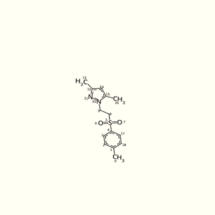 Cc1ccc(S(=O)(=O)CCn2nc(C)cc2C)cc1